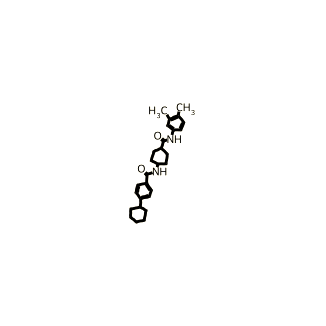 Cc1ccc(NC(=O)C2CCC(NC(=O)c3ccc(C4CCCCC4)cc3)CC2)cc1C